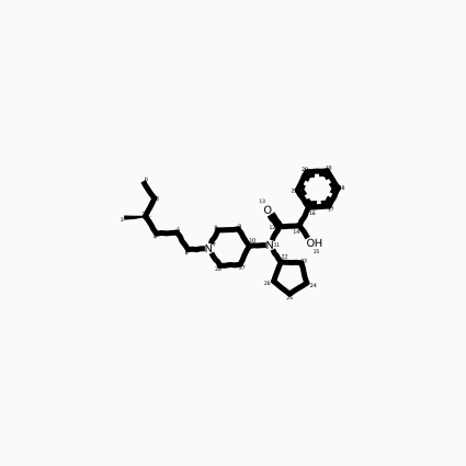 CC[C@H](C)CCCN1CCC(N(C(=O)C(O)c2ccccc2)C2CCCC2)CC1